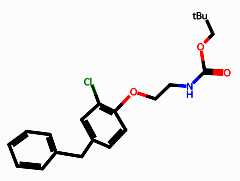 CC(C)(C)COC(=O)NCCOc1ccc(Cc2ccccc2)cc1Cl